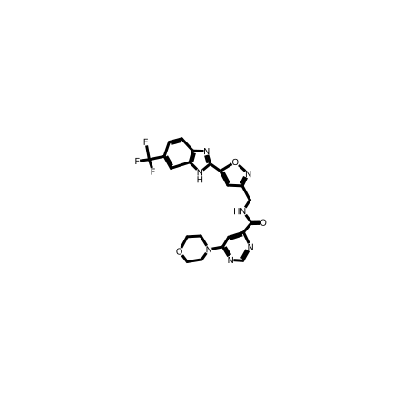 O=C(NCc1cc(-c2nc3ccc(C(F)(F)F)cc3[nH]2)on1)c1cc(N2CCOCC2)ncn1